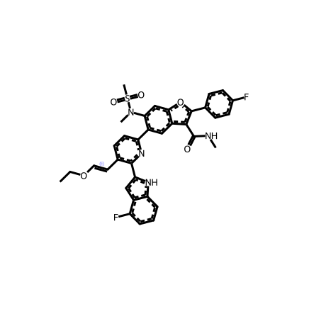 CCO/C=C/c1ccc(-c2cc3c(C(=O)NC)c(-c4ccc(F)cc4)oc3cc2N(C)S(C)(=O)=O)nc1-c1cc2c(F)cccc2[nH]1